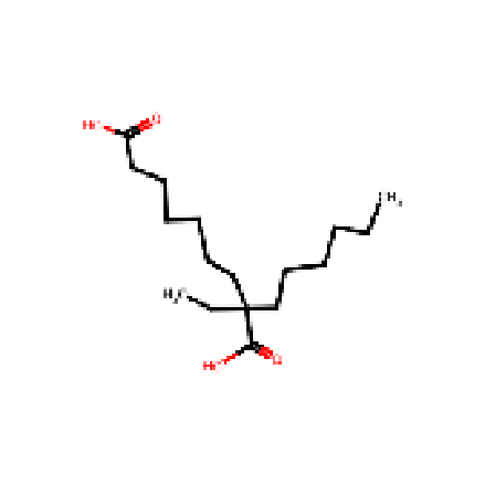 CCCCCCC(CC)(CCCCCCC(=O)O)C(=O)O